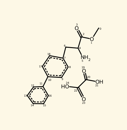 COC(=O)C(N)Cc1ccc(-c2ccccc2)cc1.O=C(O)C(=O)O